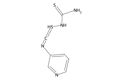 NC(=S)N[SH]=C=Nc1cccnc1